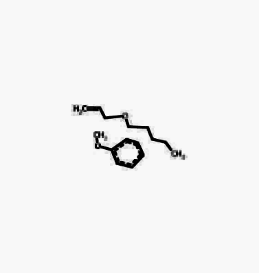 C=CCOCCCCC.COc1ccccc1